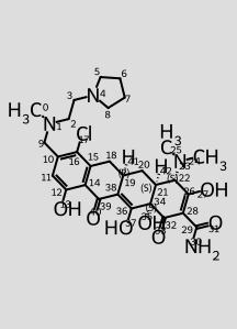 CN(CCN1CCCC1)Cc1cc(O)c2c(c1Cl)C[C@H]1C[C@H]3[C@H](N(C)C)C(O)=C(C(N)=O)C(=O)[C@@]3(O)C(O)=C1C2=O